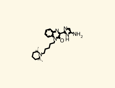 C[C@@H]1CCC[C@H](C)N1CCCCCn1c(=O)c(-c2ncc(N)[nH]2)nc2ccccc21